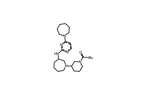 CCC(C)C(=O)N1CCCC(N2CCCCC(Nc3nccc(N4CCCCCC4)n3)C2)C1